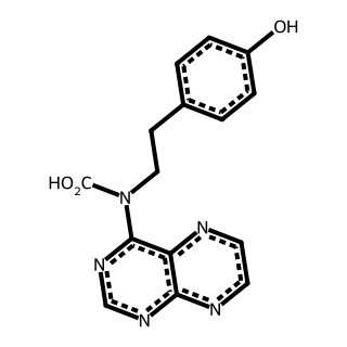 O=C(O)N(CCc1ccc(O)cc1)c1ncnc2nccnc12